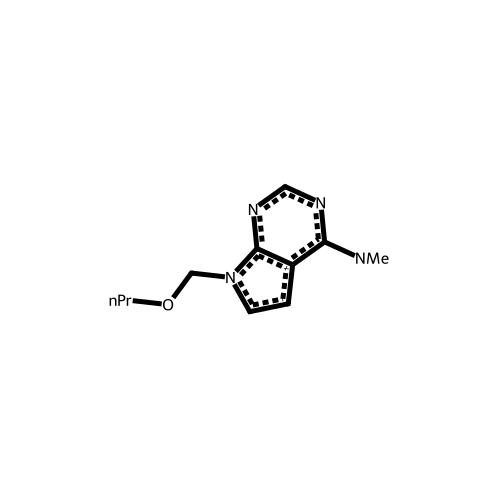 CCCOCn1ccc2c(NC)ncnc21